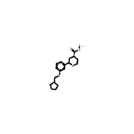 COC(=O)C1CCOC(c2cccc(OCC3CCCC3)c2)C1